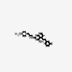 CN1CCN(CCCNc2nc(N)c3c(CCc4cccc(F)c4)ccnc3n2)CC1